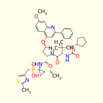 C=C[C@@H]1C[C@]1(NC(=O)[C@@H]1C[C@@H](Oc2cc(-c3ccccc3)nc3cc(OC)ccc23)CN1C(=O)[C@@H](NC(=O)OC1CCCC1)C(C)(C)C)P(=O)(O)Cc1csc(C)n1